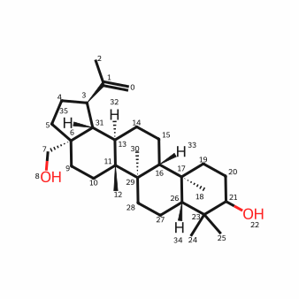 C=C(C)[C@@H]1CC[C@]2(CO)CC[C@]3(C)[C@H](CC[C@@H]4[C@@]5(C)CCC(O)C(C)(C)[C@@H]5CC[C@]43C)[C@@H]12